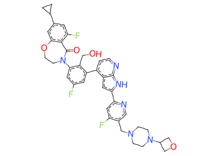 O=C1c2c(F)cc(C3CC3)cc2OCCN1c1cc(F)cc(-c2ccnc3[nH]c(-c4cc(F)c(CN5CCN(C6COC6)CC5)cn4)cc23)c1CO